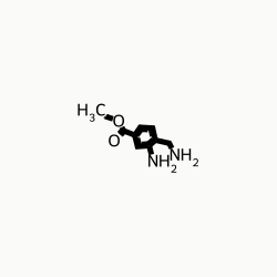 CCOC(=O)c1ccc(CN)c(N)c1